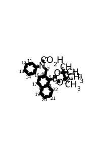 CC1(C)OB(c2c(CN(C(=O)O)c3ccccc3)ccc3ccccc23)OC1(C)C